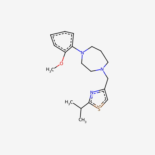 COc1ccccc1N1CCCN(Cc2csc(C(C)C)n2)CC1